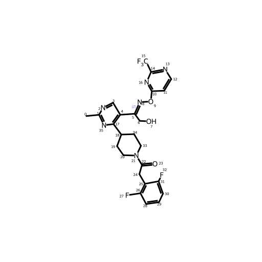 Cc1ncc(/C(CO)=N/Oc2ccnc(C(F)(F)F)n2)c(C2CCN(C(=O)Cc3c(F)cccc3F)CC2)n1